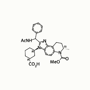 COC(=O)N1c2ccc3c(nc(C(NC(C)=O)c4ccccc4)n3[C@@H]3CCC[C@@H](C(=O)O)C3)c2CC[C@@H]1C